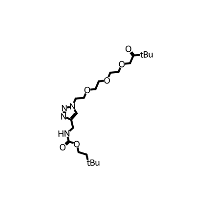 CC(C)(C)CCOC(=O)NCc1cn(CCOCCOCCOCC(=O)C(C)(C)C)nn1